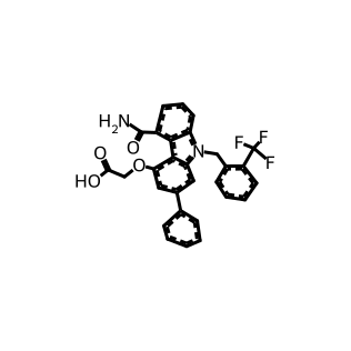 NC(=O)c1cccc2c1c1c(OCC(=O)O)cc(-c3ccccc3)cc1n2Cc1ccccc1C(F)(F)F